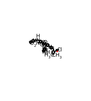 CC1(C)CCC(CN2CCN(c3ccc(C(=O)NS(=O)(=O)c4ccc(NCCN5CCC6(CCCC6)CC5)c([N+](=O)[O-])c4)c(Oc4cnc5[nH]ccc5c4)c3)CC2)=C(C23CC(Cl)(C2)C3)C1